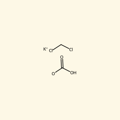 ClCCl.O=C([O-])O.[K+]